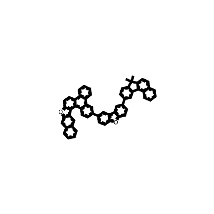 CC1(C)c2ccc(-c3ccc4oc5ccc(-c6ccc7c(c6)c6ccccc6c6ccc8oc9cc%10ccccc%10cc9c8c67)cc5c4c3)cc2-c2c1ccc1ccccc21